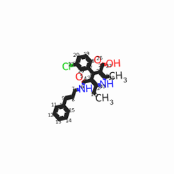 CCC1=C(C(=O)NC/C=C/c2ccccc2)C(c2cccc(Cl)c2)C(C(=O)O)=C(C)N1